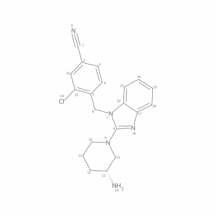 N#Cc1ccc(Cn2c(N3CCC[C@@H](N)C3)nc3ccccc32)c(Cl)c1